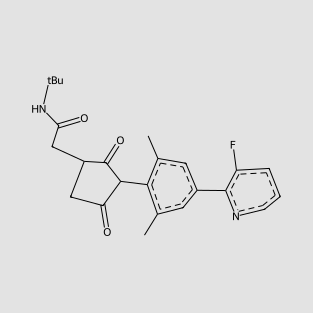 Cc1cc(-c2ncccc2F)cc(C)c1C1C(=O)CC(CC(=O)NC(C)(C)C)C1=O